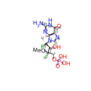 CO[C@](F)(COP(=O)(O)O)[C@@H](O)[C@@](C)(F)n1cnc2c(=O)[nH]c(N)nc21